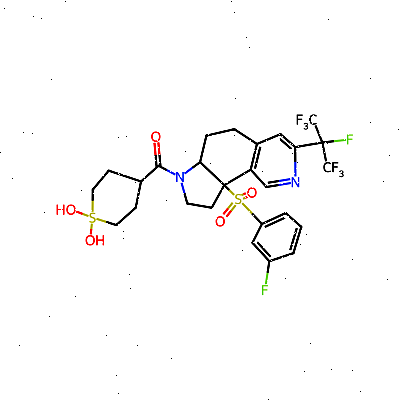 O=C(C1CCS(O)(O)CC1)N1CCC2(S(=O)(=O)c3cccc(F)c3)c3cnc(C(F)(C(F)(F)F)C(F)(F)F)cc3CCC12